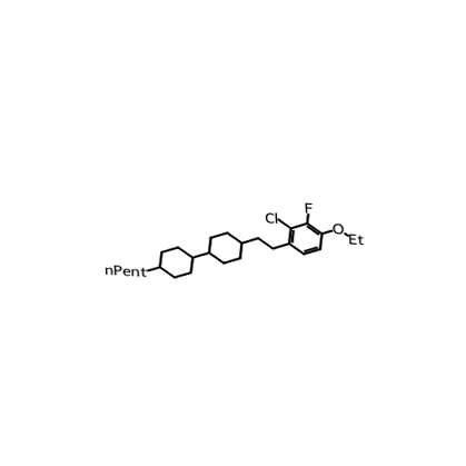 CCCCCC1CCC(C2CCC(CCc3ccc(OCC)c(F)c3Cl)CC2)CC1